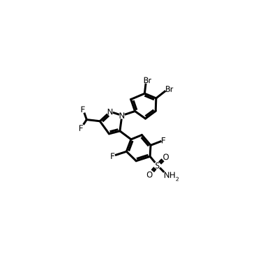 NS(=O)(=O)c1cc(F)c(-c2cc(C(F)F)nn2-c2ccc(Br)c(Br)c2)cc1F